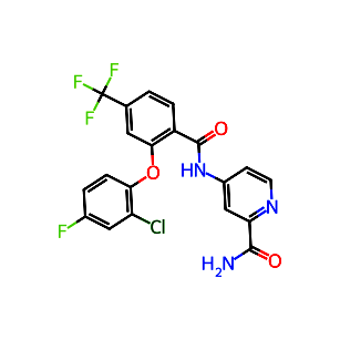 NC(=O)c1cc(NC(=O)c2ccc(C(F)(F)F)cc2Oc2ccc(F)cc2Cl)ccn1